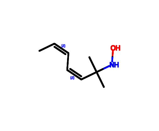 C/C=C\C=C/C(C)(C)NO